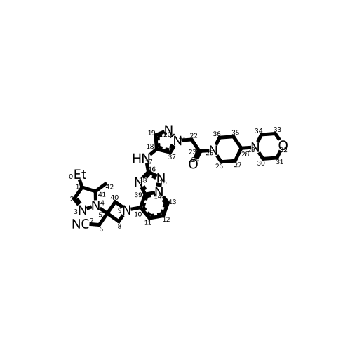 CCC1C=NN(C2(CC#N)CN(c3cccn4nc(Nc5cnn(CC(=O)N6CCC(N7CCOCC7)CC6)c5)nc34)C2)C1C